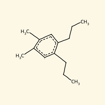 CCCc1[c]c(C)c(C)cc1CCC